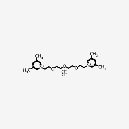 Cc1cc(C)c[n+](CCOCCOCCOCC[n+]2cc(C)cc(C)c2)c1.[Cl-].[Cl-]